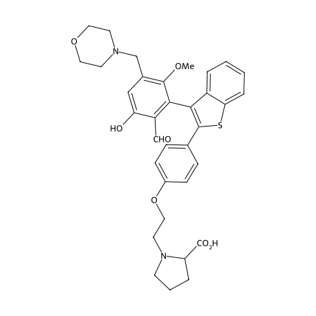 COc1c(CN2CCOCC2)cc(O)c(C=O)c1-c1c(-c2ccc(OCCN3CCCC3C(=O)O)cc2)sc2ccccc12